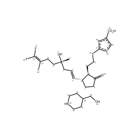 C[C@@](O)(CC=C[C@H]1CCC(=O)[C@@H]1CCSc1nc(C(=O)O)cs1)CCC(F)=C(F)F.OCC1CCNCC1